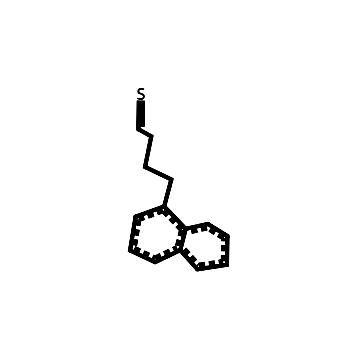 S=CCCCc1cccc2ccccc12